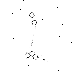 COC(=O)c1ccc2c(c1)nc(NCCCCOCCNCc1ccc(-c3ccccc3)c(Cl)c1)c1ccncc12